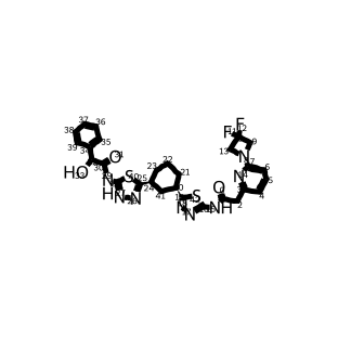 O=C(Cc1cccc(N2CC(F)(F)C2)n1)Nc1nnc([C@H]2CCC[C@H](c3nnc(NC(=O)C(O)c4ccccc4)s3)C2)s1